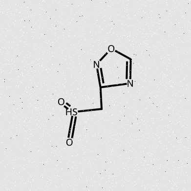 O=[SH](=O)Cc1ncon1